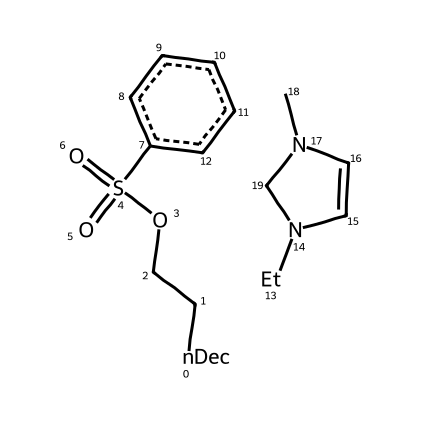 CCCCCCCCCCCCOS(=O)(=O)c1ccccc1.CCN1C=CN(C)C1